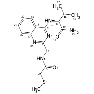 CSCC(=O)NCc1nc(N[C@H](C(N)=O)C(C)C)c2ccccc2n1